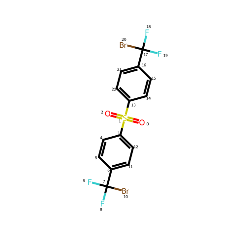 O=S(=O)(c1ccc(C(F)(F)Br)cc1)c1ccc(C(F)(F)Br)cc1